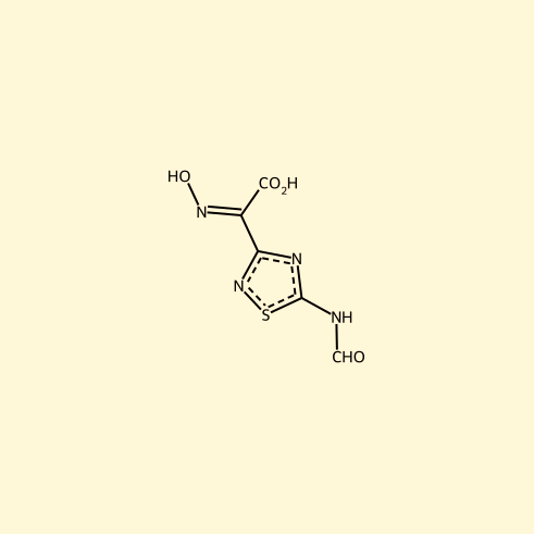 O=CNc1nc(C(=NO)C(=O)O)ns1